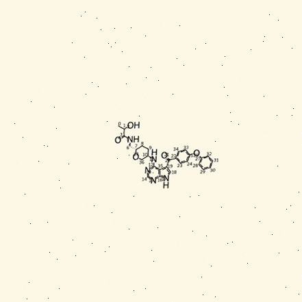 CC(O)C(=O)NC[C@@H]1CC[C@@H](Nc2ncnc3[nH]cc(C(=O)c4ccc(Oc5ccccc5)cc4)c23)CO1